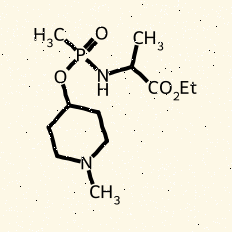 CCOC(=O)C(C)NP(C)(=O)OC1CCN(C)CC1